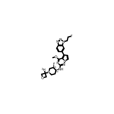 [2H]C1(N2CC[C@H](Nc3nc(OC)c4c(-c5ccc6nnn(CCF)c6c5)ccn4n3)[C@H](F)C2)COC1